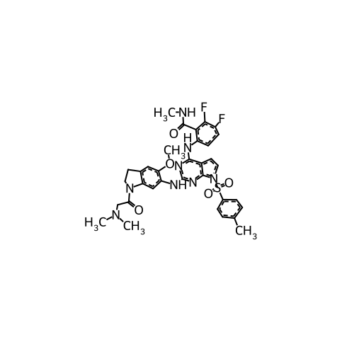 CNC(=O)c1c(Nc2nc(Nc3cc4c(cc3OC)CCN4C(=O)CN(C)C)nc3c2ccn3S(=O)(=O)c2ccc(C)cc2)ccc(F)c1F